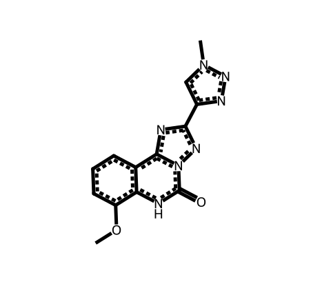 COc1cccc2c1[nH]c(=O)n1nc(-c3cn(C)nn3)nc21